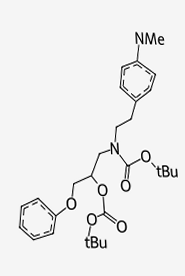 CNc1ccc(CCN(CC(COc2ccccc2)OC(=O)OC(C)(C)C)C(=O)OC(C)(C)C)cc1